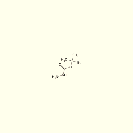 CCC(C)(C)OC(=O)NN